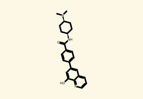 CN(C)[C@H]1CC[C@@H](NC(=O)c2ccc(-c3cc(O)c4ncccc4c3)cc2)CC1